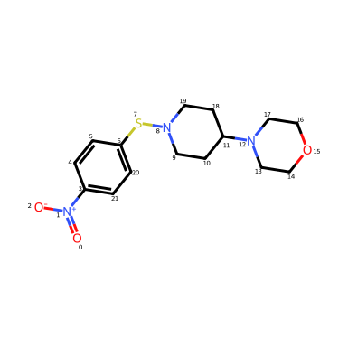 O=[N+]([O-])c1ccc(SN2CCC(N3CCOCC3)CC2)cc1